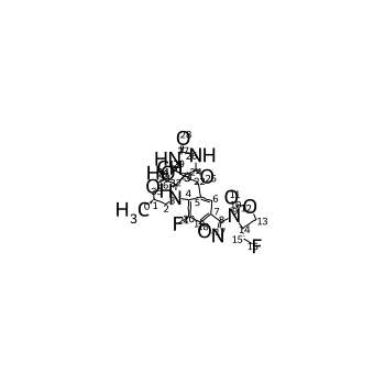 C[C@@H]1CN2c3c(cc4c(N5C(=O)OC[C@@H]5CF)noc4c3F)CC3(C(=O)NC(=O)NC3O)[C@H]2[C@H](C)O1